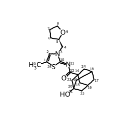 Cc1cn(C[C@H]2CCCO2)/c(=N/C(=O)C23CC4CC(CC(O)(C4)C2)C3)s1